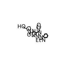 CCc1nc2ccccc2n1-c1nc(N2CCOCC2)c2nc(C(=O)N3CCCC(CO)C3)n(C)c2n1